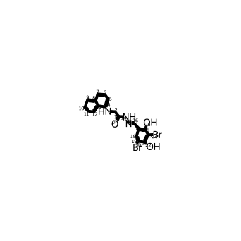 O=C(CNc1cccc2ccccc12)N/N=C/c1cc(Br)c(O)c(Br)c1O